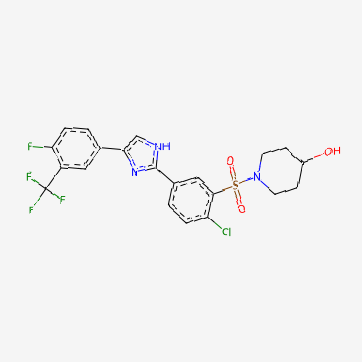 O=S(=O)(c1cc(-c2nc(-c3ccc(F)c(C(F)(F)F)c3)c[nH]2)ccc1Cl)N1CCC(O)CC1